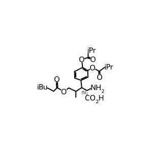 CCC(C)CC(=O)OCC(C)C(c1ccc(OC(=O)C(C)C)c(OC(=O)C(C)C)c1)[C@H](N)C(=O)O